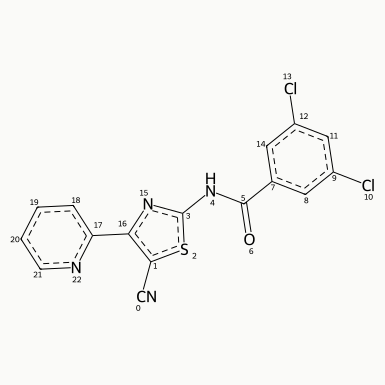 N#Cc1sc(NC(=O)c2cc(Cl)cc(Cl)c2)nc1-c1ccccn1